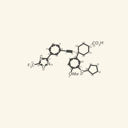 COc1ccc([C@]2(C#Cc3cccc(-c4noc(C(F)(F)F)n4)c3)CC[C@@H](C(=O)O)CC2)cc1OC1CCCC1